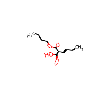 CCC=CC(C(=O)O)C(=O)OCCCC